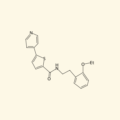 CCOc1ccccc1CCNC(=O)c1ccc(-c2ccncc2)s1